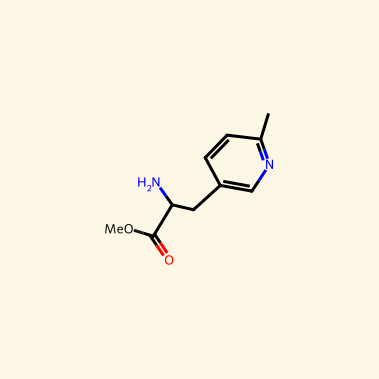 COC(=O)C(N)Cc1ccc(C)nc1